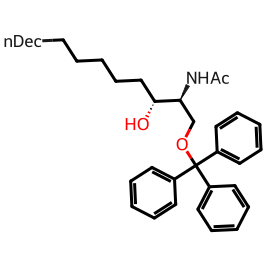 CCCCCCCCCCCCCCC[C@@H](O)[C@H](COC(c1ccccc1)(c1ccccc1)c1ccccc1)NC(C)=O